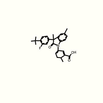 Cc1ccc2c(c1)C(C)(c1ccc(C(C)(C)C)c(F)c1)C(=O)N2C1=CCC(C)C(C(=O)O)=C1